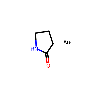 O=C1CCCN1.[Au]